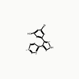 Oc1cc(Br)cc(-c2n[nH]cc2-c2ccncn2)c1